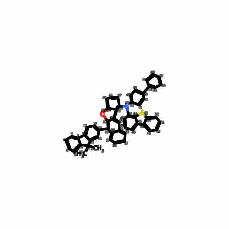 CC1(C)c2ccccc2-c2ccc(-c3c4ccccc4cc4c3oc3cccc(N(c5ccc(-c6ccccc6)cc5)c5cccc6c5sc5ccccc56)c34)cc21